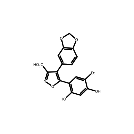 CCc1cc(-c2onc(C(=O)O)c2-c2ccc3c(c2)OCO3)c(O)cc1O